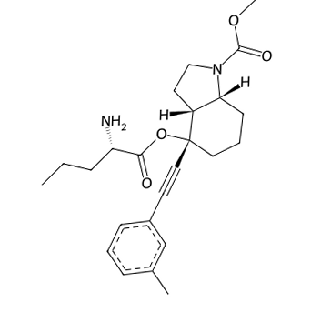 CCC[C@H](N)C(=O)O[C@@]1(C#Cc2cccc(C)c2)CCC[C@@H]2[C@H]1CCN2C(=O)OC